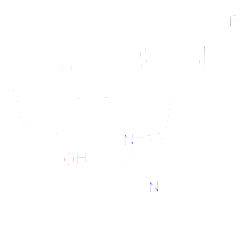 OC1CCCOC1[C@@H]1c2ccc(F)cc2-c2cncn21